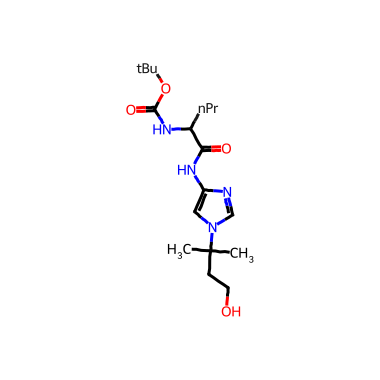 CCCC(NC(=O)OC(C)(C)C)C(=O)Nc1cn(C(C)(C)CCO)cn1